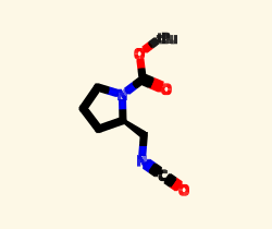 CC(C)(C)OC(=O)N1CCC[C@@H]1CN=C=O